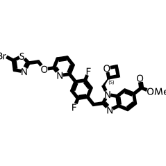 COC(=O)c1ccc2nc(Cc3cc(F)c(-c4cccc(OCc5ncc(Br)s5)n4)cc3F)n(C[C@@H]3CCO3)c2c1